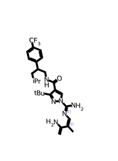 C=C(N)/C(C)=C\N=C(/N)n1cc(C(=O)NCC(CC(C)C)c2ccc(C(F)(F)F)cc2)c(C(C)(C)C)n1